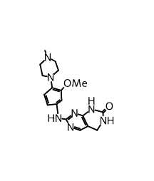 COc1cc(Nc2ncc3c(n2)NC(=O)NC3)ccc1N1CCN(C)CC1